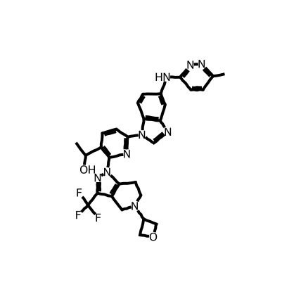 Cc1ccc(Nc2ccc3c(c2)ncn3-c2ccc(C(C)O)c(-n3nc(C(F)(F)F)c4c3CCN(C3COC3)C4)n2)nn1